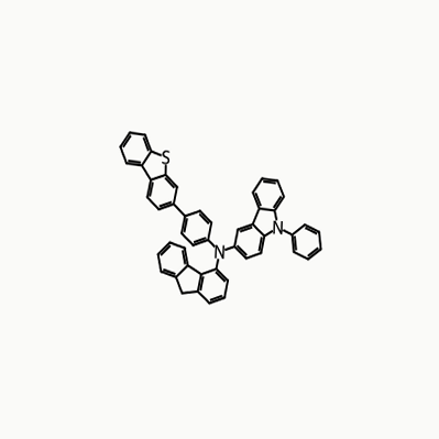 c1ccc(-n2c3ccccc3c3cc(N(c4ccc(-c5ccc6c(c5)sc5ccccc56)cc4)c4cccc5c4-c4ccccc4C5)ccc32)cc1